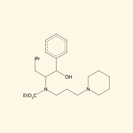 CCOC(=O)N(CCCN1CCCCC1)C(CC(C)C)C(O)c1ccccc1